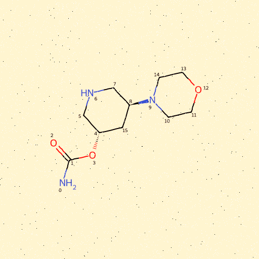 NC(=O)O[C@@H]1CNC[C@@H](N2CCOCC2)C1